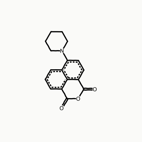 O=C1OC(=O)c2ccc(N3CCCCC3)c3cccc1c23